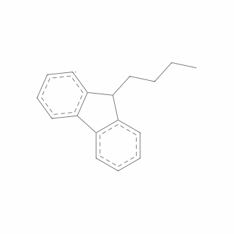 CCCCC1c2[c]cccc2-c2ccccc21